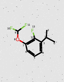 [CH2]C(C)c1cccc(OC(F)F)c1F